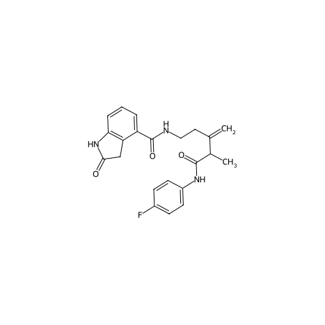 C=C(CCNC(=O)c1cccc2c1CC(=O)N2)C(C)C(=O)Nc1ccc(F)cc1